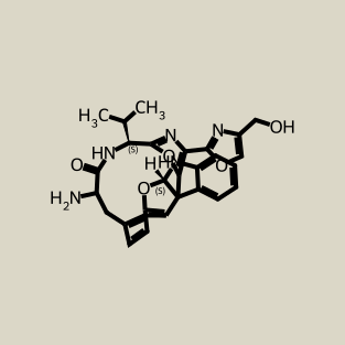 CC(C)[C@@H]1NC(=O)C(N)Cc2ccc3c(c2)C2(c4ccccc4N[C@H]2O3)c2oc1nc2-c1nc(CO)co1